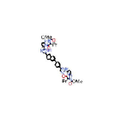 COC(=O)N[C@H](C(=O)N1[C@@H](C)CC[C@H]1C1=NCC(c2ccc(-c3ccc4cc(C5CN=C([C@@H]6CC[C@H](C)N6C(=O)[C@@H](NC(=O)OC)C(C)C)N5)ccc4c3)cc2)N1)C(C)C